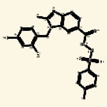 Cc1ccc(S(=O)(=O)NNC(=O)c2ccc3nc(C)n(Cc4ccc(I)cc4Cl)c3c2)cc1